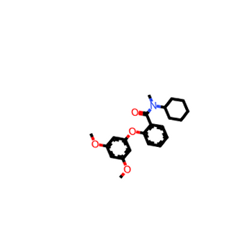 COc1cc(OC)cc(Oc2ccccc2C(=O)N(C)C2CCCCC2)c1